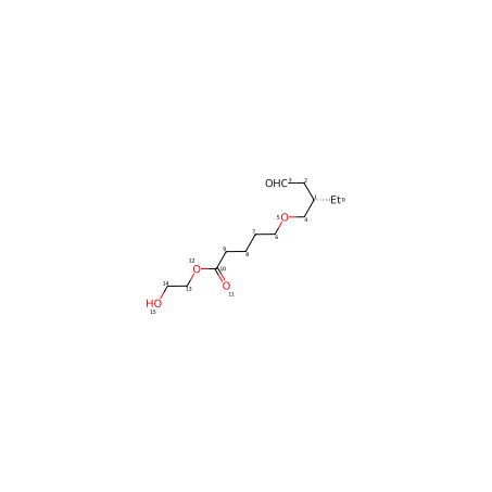 CC[C@@H](CC=O)COCCCCC(=O)OCCO